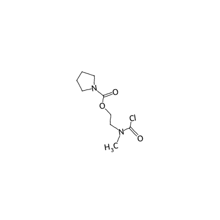 CN(CCOC(=O)N1CCCC1)C(=O)Cl